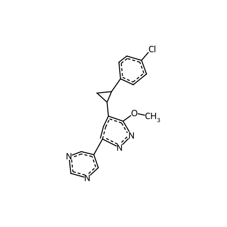 COc1nnc(-c2cncnc2)cc1C1CC1c1ccc(Cl)cc1